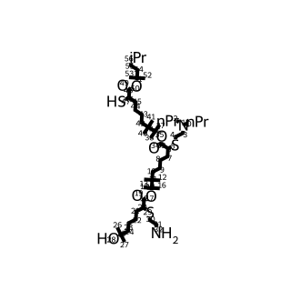 CCCN(CCC)CCSC(CCCCC(C)(C)C(C)(C)OC(=O)C(CCCCC(C)(C)O)SCCN)C(=O)OC(C)(C)C(C)(C)CCCCC(S)C(=O)OC(C)(C)CCC(C)C